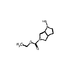 CCOC(=O)N1CC2CCN(S)C2C1